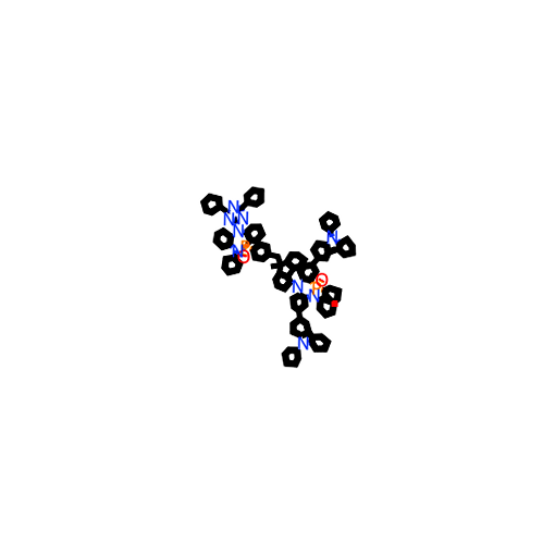 CC1(Cc2ccc(P3(=O)c4ccccc4N(c4nc(-c5ccccc5)nc(-c5ccccc5)n4)c4ccccc4N3c3ccccc3)cc2)c2ccccc2-c2c(N3c4ccc(-c5ccc6c(c5)c5ccccc5n6-c5ccccc5)cc4N(c4ccccc4)P(=O)(c4ccccc4)c4cc(-c5ccc6c(c5)c5ccccc5n6-c5ccccc5)ccc43)cccc21